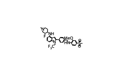 COc1cc(S(C)(=O)=O)ccc1NCc1ccc(-c2cc3c(N[C@H]4CCN(C)C[C@H]4F)cccc3n2CC(F)(F)F)cc1